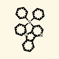 c1ccc([Si](c2ccccc2)(c2ccccc2)c2ccnc3c2oc2ccccc23)cc1